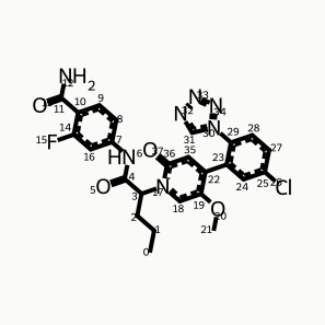 CCCC(C(=O)Nc1ccc(C(N)=O)c(F)c1)n1cc(OC)c(-c2cc(Cl)ccc2-n2cnnn2)cc1=O